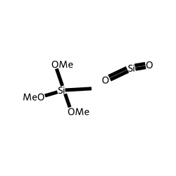 CO[Si](C)(OC)OC.O=[Si]=O